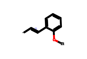 [CH2]/C=C/c1ccccc1OCC